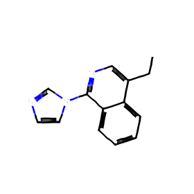 CCc1cnc(-n2ccnc2)c2ccccc12